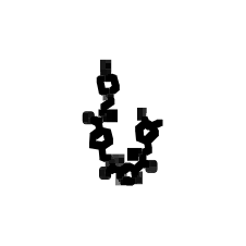 Cc1cc(CNC(=O)c2cc(C(=O)NCc3ccc(C(=O)NCCN4CCNCC4)cc3)ncn2)ccc1F